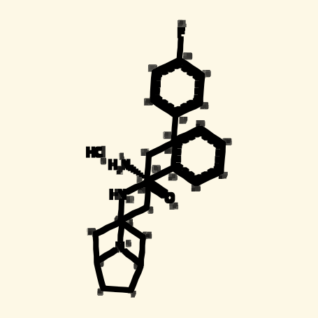 Cl.N[C@@H](CCN1C2CCC1CC(NC(=O)CCc1ccc(F)cc1)C2)c1ccccc1